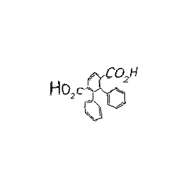 O=C(O)c1ccc(C(=O)O)c(-c2ccccc2)c1-c1ccccc1